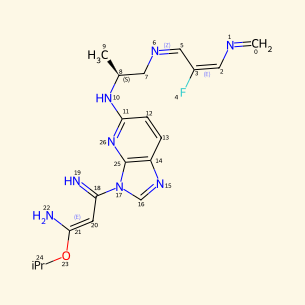 C=N/C=C(F)\C=N/C[C@H](C)Nc1ccc2ncn(C(=N)/C=C(\N)OC(C)C)c2n1